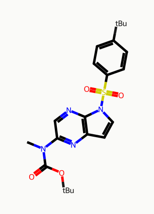 CN(C(=O)OC(C)(C)C)c1cnc2c(ccn2S(=O)(=O)c2ccc(C(C)(C)C)cc2)n1